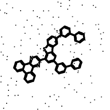 c1ccc(-c2cccc(-c3ccc4sc5c(-c6cnc7c8ccccc8c8ccccc8c7n6)cc(-c6cccc(-c7ccccc7)c6)cc5c4c3)c2)cc1